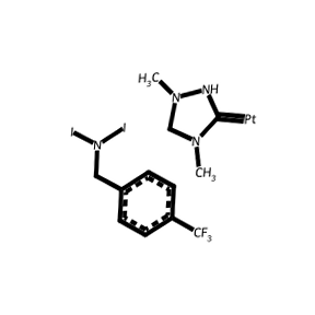 CN1CN(C)[C](=[Pt])N1.FC(F)(F)c1ccc(CN(I)I)cc1